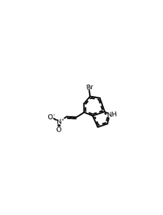 O=[N+]([O-])C=Cc1cc(Br)cc2[nH]ccc12